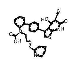 N#Cc1c(O)c2c(-c3ccc(-c4ccccc4N(CCSSc4ccccn4)C(=O)O)cc3)csc2[nH]c1=O